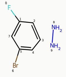 Fc1cccc(Br)c1.NN